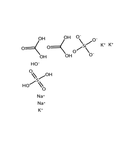 O=C(O)O.O=C(O)O.O=S(=O)(O)O.[K+].[K+].[K+].[Na+].[Na+].[O-][Si]([O-])([O-])[O-].[OH-]